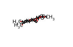 CCCCOC(=O)Oc1ccc(N=Nc2ccc(/N=N/c3ccc(N=Nc4ccc(N(CCCC)CCCC)cc4)cc3)c3ccccc23)cc1